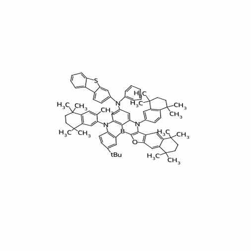 Cc1cc2c(cc1N1c3ccc(C(C)(C)C)cc3B3c4oc5cc6c(cc5c4N(c4ccc5c(c4)C(C)(C)CCC5(C)C)c4cc(N(c5ccccc5)c5ccc7c(c5)sc5ccccc57)cc1c43)C(C)(C)CCC6(C)C)C(C)(C)CCC2(C)C